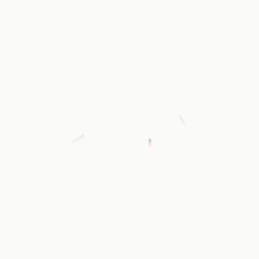 C=CCCCCC(=O)C1CC=C(C)C1(C)C